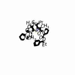 CC[C@H](OC(=O)[C@@H]1CCCN1C(=O)/C(C)=C/C(C(C)C)N(C)C(=O)[C@@H](NC(=O)[C@H]1CCCCN1C)C(C)C)c1ccccc1